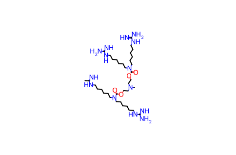 CC(=N)NCCCCCCN(CCCCCCNC(=N)N)C(=O)OCCN(C)CCOC(=O)N(CCCCCCNC(=N)N)CCCCCCNC(=N)N